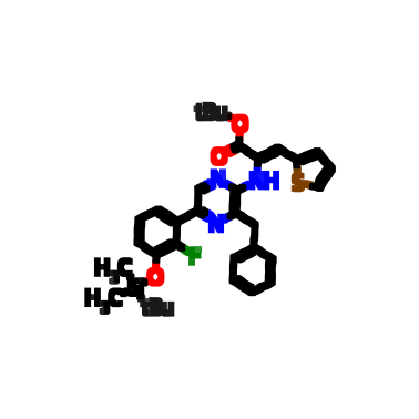 CC(C)(C)OC(=O)/C(=C/c1cccs1)Nc1ncc(-c2cccc(O[Si](C)(C)C(C)(C)C)c2F)nc1Cc1ccccc1